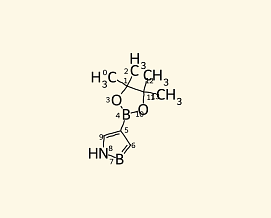 CC1(C)OB(c2cb[nH]c2)OC1(C)C